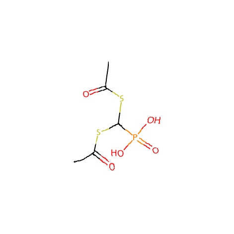 CC(=O)SC(SC(C)=O)P(=O)(O)O